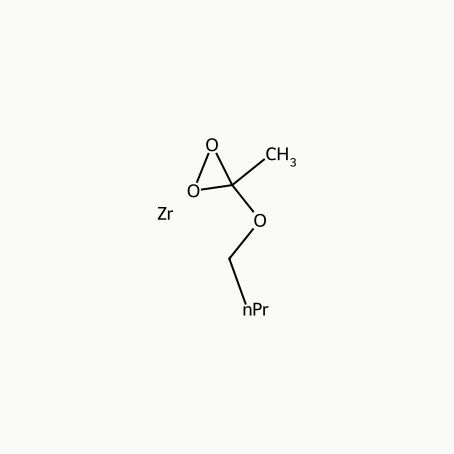 CCCCOC1(C)OO1.[Zr]